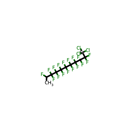 CC(F)C(F)(F)C(F)(F)C(F)(F)C(F)(F)C(F)(F)C(F)(F)C(F)(F)C(F)(F)[Si](Cl)(Cl)Cl